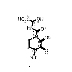 CCN1CCN(C(=O)NC(O)C(=O)O)C(=O)C1=O